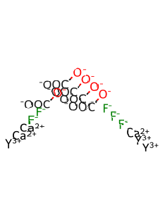 O=C([O-])[O-].O=C([O-])[O-].O=C([O-])[O-].O=C([O-])[O-].O=C([O-])[O-].[Ca+2].[Ca+2].[Ca+2].[F-].[F-].[F-].[F-].[F-].[Y+3].[Y+3].[Y+3]